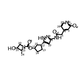 COc1cc(CC(=O)Nc2cc([C@H]3CC[C@@H](OC(=O)N4C[C@@H](O)[C@@H]4C)C3)[nH]n2)ccn1